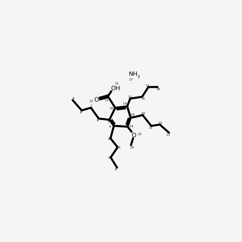 CCCCc1c(CCCC)c(C(=O)O)c(CCCC)c(CCCC)c1OC.N